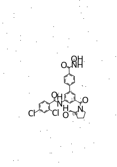 O=C(NO)c1ccc(-c2cc(NC(=O)c3ccc(Cl)cc3Cl)cc(C(=O)N3CCC[C@H]3CO)c2)cc1